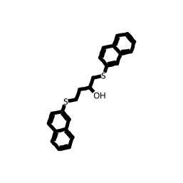 OC(CCSc1ccc2ccccc2c1)CSc1ccc2ccccc2c1